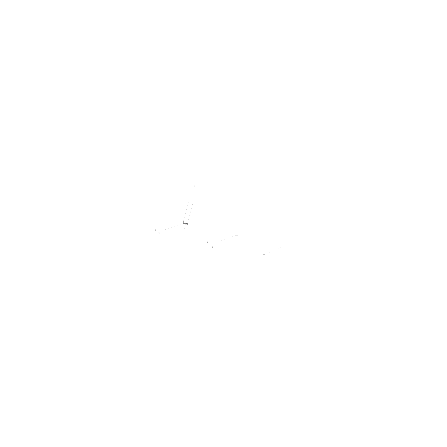 CC[C]NC(N)=O